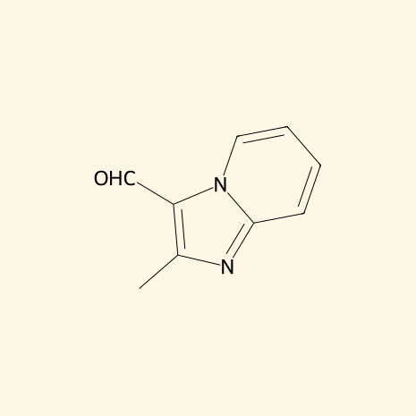 Cc1nc2ccccn2c1C=O